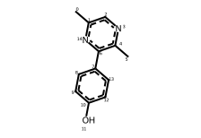 Cc1cnc(C)c(-c2ccc(O)cc2)n1